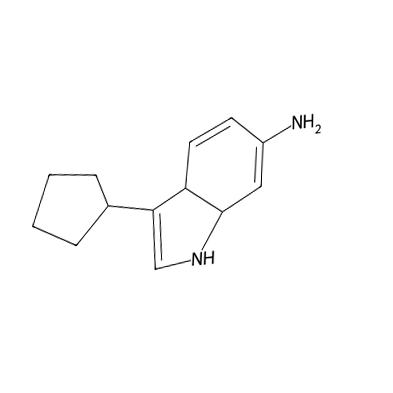 NC1=CC2NC=C(C3CCCC3)C2C=C1